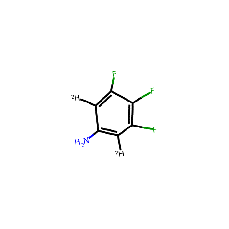 [2H]c1c(N)c([2H])c(F)c(F)c1F